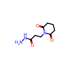 NNC(=O)CCN1C(=O)CCCC1=O